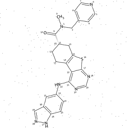 CN(Cc1ccncc1)C(=O)[C@H]1CCc2c(sc3ncnc(Nc4ccc5[nH]ncc5c4)c23)C1